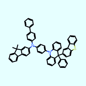 CC1(C)c2ccccc2-c2ccc(N(c3ccc(-c4ccccc4)cc3)c3ccc(N4c5ccccc5C(c5ccccc5)(c5ccc6sc7ccccc7c6c5)c5ccccc54)cc3)cc21